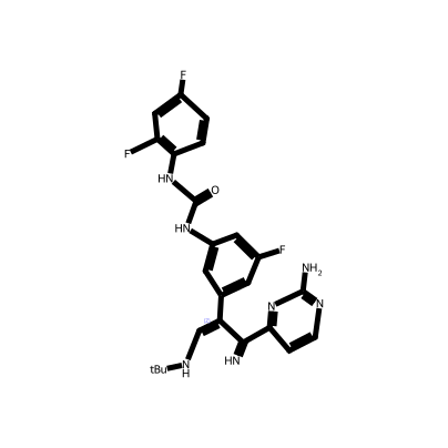 CC(C)(C)N/C=C(\C(=N)c1ccnc(N)n1)c1cc(F)cc(NC(=O)Nc2ccc(F)cc2F)c1